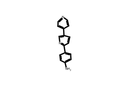 Nc1ccc(-c2ccc(-c3ccncc3)cn2)cc1